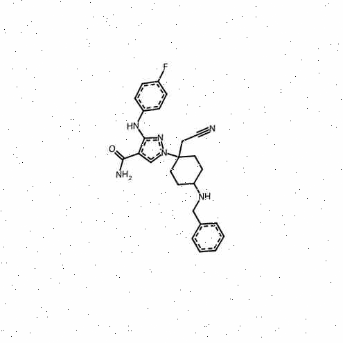 N#CCC1(n2cc(C(N)=O)c(Nc3ccc(F)cc3)n2)CCC(NCc2ccccc2)CC1